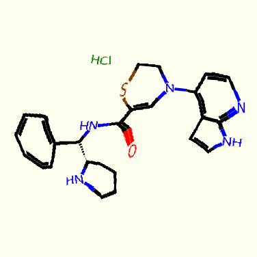 Cl.O=C(NC(c1ccccc1)[C@@H]1CCCN1)C1=CN(c2ccnc3[nH]ccc23)CCS1